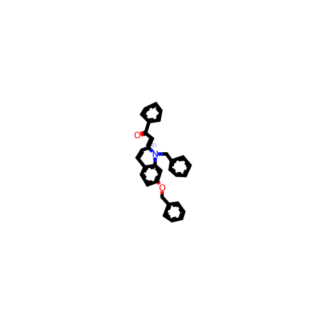 O=C(/C=C1\C=Cc2ccc(OCc3ccccc3)cc2N1Cc1ccccc1)c1ccccc1